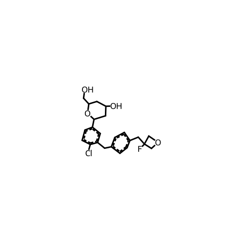 OCC1CC(O)CC(c2ccc(Cl)c(Cc3ccc(CC4(F)COC4)cc3)c2)O1